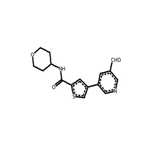 O=Cc1cncc(-c2csc(C(=O)NC3CCOCC3)c2)c1